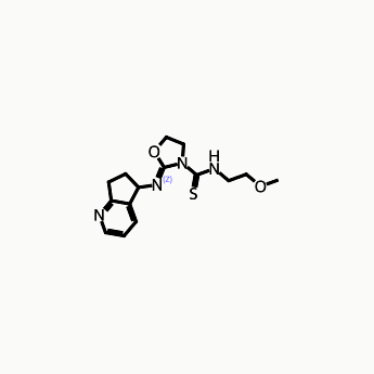 COCCNC(=S)N1CCO/C1=N\C1CCc2ncccc21